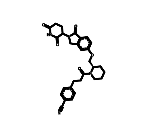 N#Cc1ccc(CCC(=O)N2CCCC[C@@H]2COc2ccc3c(c2)CN(C2CCC(=O)NC2=O)C3=O)cc1